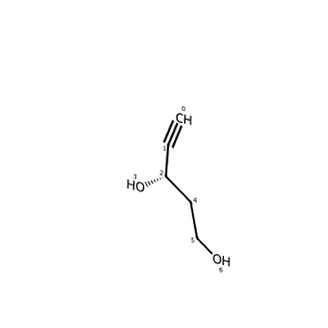 C#C[C@@H](O)CCO